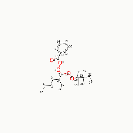 CCCCC(CC)C(OOC(=O)c1ccccc1)OOC(C)(C)C(C)(C)CC